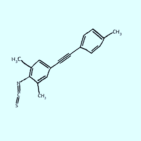 Cc1ccc(C#Cc2cc(C)c(N=C=S)c(C)c2)cc1